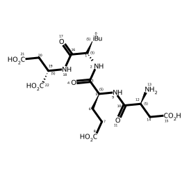 CC[C@H](C)[C@H](NC(=O)[C@H](CCC(=O)O)NC(=O)[C@@H](N)CC(=O)O)C(=O)N[C@@H](CC(=O)O)C(=O)O